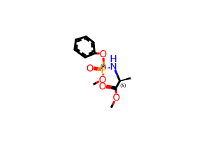 COC(=O)[C@H](C)N[P@@](=O)(OC)Oc1ccccc1